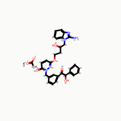 CC(=O)[O-].Nc1nc2ccccc2n1CC(O)CCOc1ccc(=O)n(Cc2cccc(C(=O)C(O)c3ccccc3)c2)n1.[K+]